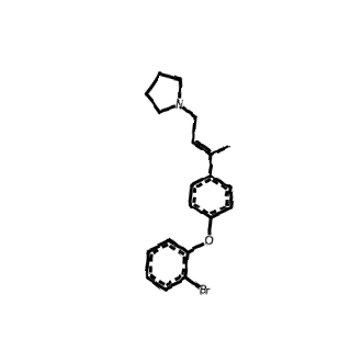 CC(=CCN1CCCC1)c1ccc(Oc2ccccc2Br)cc1